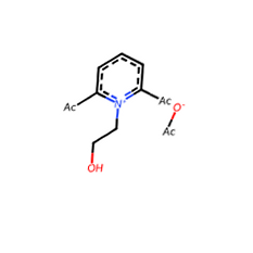 CC(=O)[O-].CC(=O)c1cccc(C(C)=O)[n+]1CCO